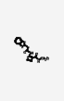 CCOC(=O)NC(=O)c1ccsc1NC(=O)Cc1nc2ccccc2s1